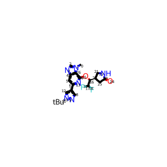 Cn1cnc2cc(-c3cnn(C(C)(C)C)c3)nc(OC(C(F)F)[C@H]3CNC(=O)C3)c21